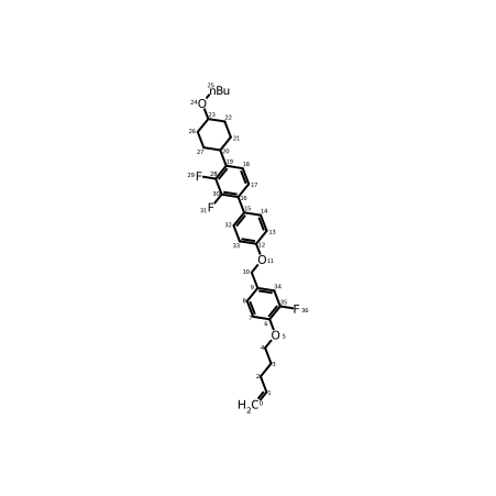 C=CCCCOc1ccc(COc2ccc(-c3ccc(C4CCC(OCCCC)CC4)c(F)c3F)cc2)cc1F